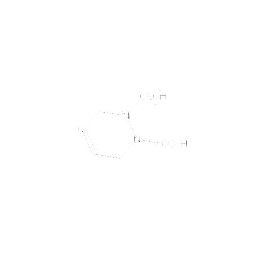 O=C(O)N1CC=CCN1C(=O)O